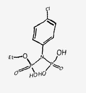 CCOP(=O)(O)N(c1ccc(Cl)cc1)P(=O)(O)O